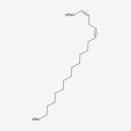 CCCCC/C=C\C/C=C\CCCCCCCC[CH]CCCCCCCCCCCCC